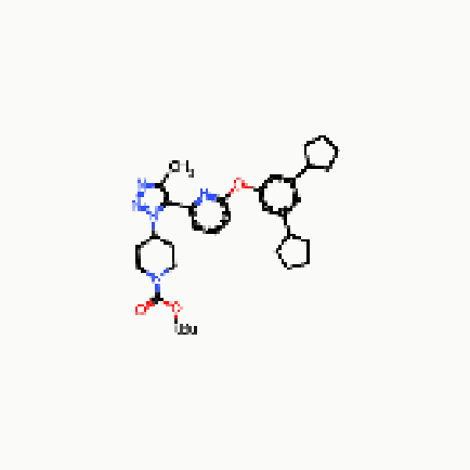 Cc1nnn(C2CCN(C(=O)OC(C)(C)C)CC2)c1-c1cccc(Oc2cc(C3CCCC3)cc(C3CCCC3)c2)n1